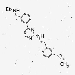 CCNCc1cccc(-c2ccnc(NCCc3cccc(C4C[C@@H]4C)c3)n2)c1